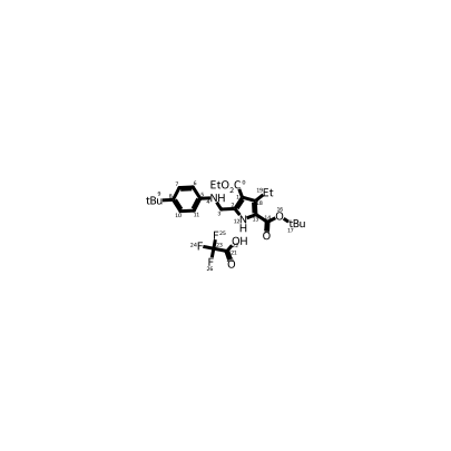 CCOC(=O)c1c(CNc2ccc(C(C)(C)C)cc2)[nH]c(C(=O)OC(C)(C)C)c1CC.O=C(O)C(F)(F)F